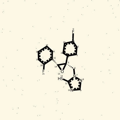 Fc1ccc([C@@]2(Cn3ncnc3S)O[C@@H]2c2ccccc2F)cc1